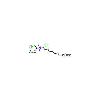 CCCCCCCCCCCCCCCCCC[N+](C)(C)C(CCl)OC(C)=O.[Cl-]